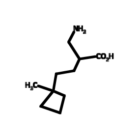 CC1(CCC(CN)C(=O)O)CCC1